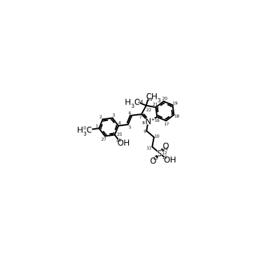 Cc1ccc(/C=C/C2=[N+](CCCS(=O)(=O)O)c3ccccc3C2(C)C)c(O)c1